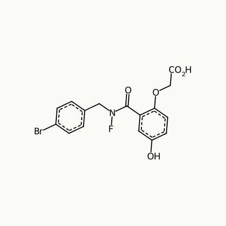 O=C(O)COc1ccc(O)cc1C(=O)N(F)Cc1ccc(Br)cc1